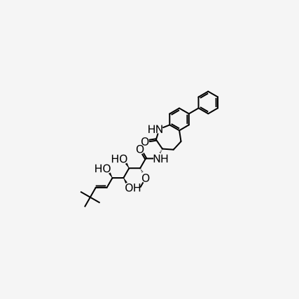 CO[C@@H](C(=O)N[C@H]1CCc2cc(-c3ccccc3)ccc2NC1=O)[C@H](O)[C@@H](O)[C@H](O)C=CC(C)(C)C